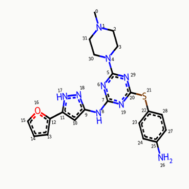 CN1CCN(c2nc(Nc3cc(-c4ccco4)[nH]n3)nc(Sc3ccc(N)cc3)n2)CC1